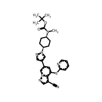 CN(C(=O)OC(C)(C)C)[C@H]1CC[C@@H](n2cc(-c3cc(Sc4ccccn4)c4c(C#N)cnn4c3)cn2)CC1